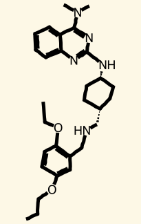 CCCOc1ccc(OCC)c(CNC[C@H]2CC[C@@H](Nc3nc(N(C)C)c4ccccc4n3)CC2)c1